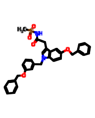 CS(=O)(=O)NC(=O)Cc1cn(Cc2cccc(OCc3ccccc3)c2)c2ccc(OCc3ccccc3)cc12